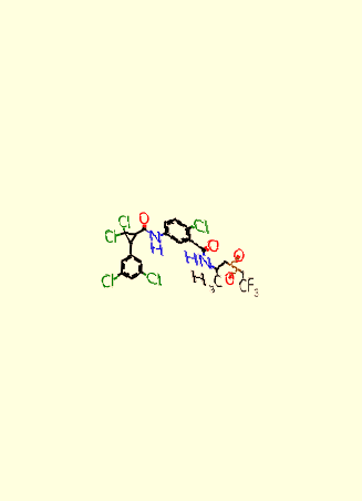 CC(CS(=O)(=O)CC(F)(F)F)NC(=O)c1cc(NC(=O)C2C(c3cc(Cl)cc(Cl)c3)C2(Cl)Cl)ccc1Cl